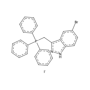 Brc1ccc2[nH]nc(C[P+](c3ccccc3)(c3ccccc3)c3ccccc3)c2c1.[I-]